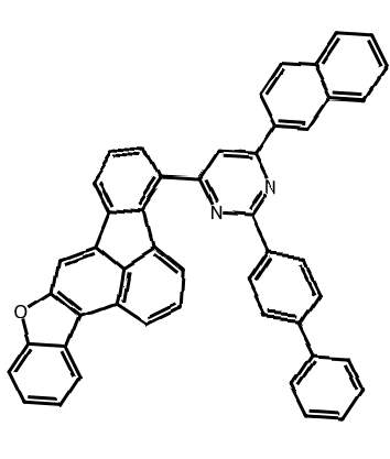 c1ccc(-c2ccc(-c3nc(-c4ccc5ccccc5c4)cc(-c4cccc5c4-c4cccc6c4c-5cc4oc5ccccc5c46)n3)cc2)cc1